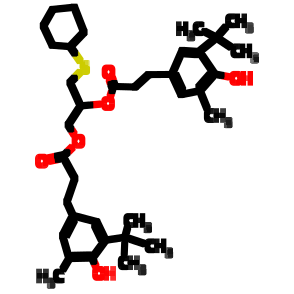 Cc1cc(CCC(=O)OCC(CSC2CCCCC2)OC(=O)CCc2cc(C)c(O)c(C(C)(C)C)c2)cc(C(C)(C)C)c1O